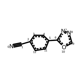 N#Cc1ccc(-c2nn[c]o2)cc1